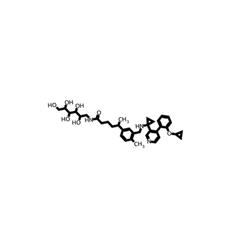 Cc1ccc(C(C)CCCC(=O)NCC(O)C(O)C(O)C(O)CO)cc1CNC1(c2cnccc2-c2ccccc2OC2CC2)CC1